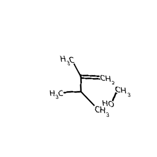 C=C(C)C(C)C.CO